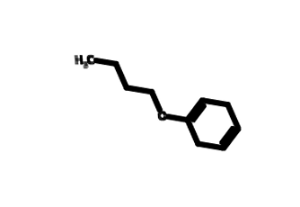 CCCCOC1=CCC=CC1